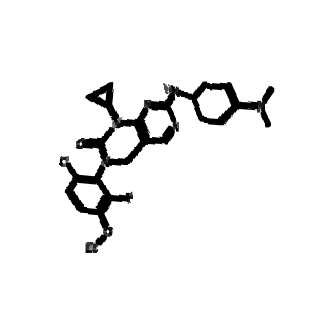 CCOc1ccc(Cl)c(N2Cc3cnc(NC4CCC(N(C)C)CC4)nc3N(C3CC3)C2=O)c1F